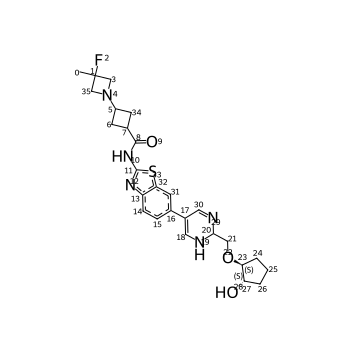 CC1(F)CN(C2CC(C(=O)Nc3nc4ccc(C5=CNC(CO[C@H]6CCC[C@@H]6O)N=C5)cc4s3)C2)C1